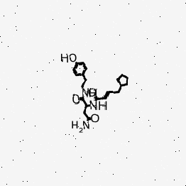 NC(=O)CC(NC(=O)C=CCC1CCCC1)C(=O)NCCc1ccc(O)cc1